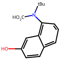 CC(C)(C)N(C(=O)O)c1cccc2ccc(O)cc12